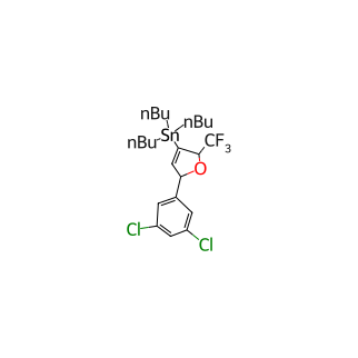 CCC[CH2][Sn]([CH2]CCC)([CH2]CCC)[C]1=CC(c2cc(Cl)cc(Cl)c2)OC1C(F)(F)F